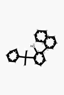 CC(C)(c1ccccc1)c1cccc(-c2cccc3ccccc23)c1O